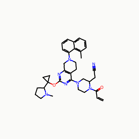 C=CC(=O)N1CCN(c2nc(OC3(C4CCCN4C)CC3)nc3c2CCN(c2cccc4cccc(C)c24)C3)CC1CC#N